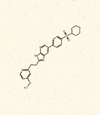 COc1ccnc(CCc2nc3cc(-c4ccc(S(=O)(=O)N5CCCCC5)cc4)cnc3[nH]2)c1